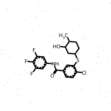 CC1CCC(Sc2cc(C(=O)Nc3cc(F)c(F)c(F)c3)ccc2Cl)CC1O